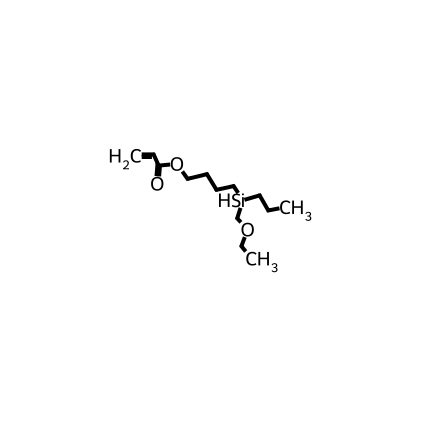 C=CC(=O)OCCCC[SiH](CCC)COCC